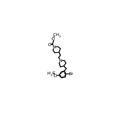 COCC(=O)N1CCC(CCN2CCC(Cc3cc(OC)ccc3Br)CC2)CC1